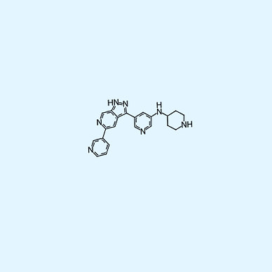 c1cncc(-c2cc3c(-c4cncc(NC5CCNCC5)c4)n[nH]c3cn2)c1